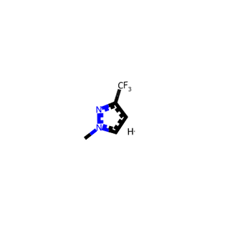 Cn1ccc(C(F)(F)F)n1.[H]